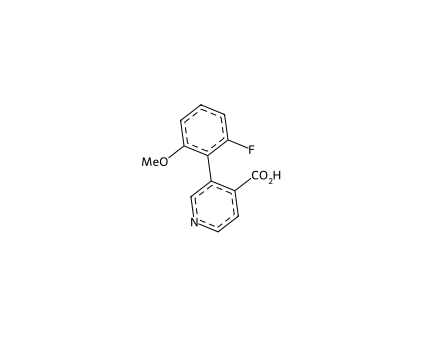 COc1cccc(F)c1-c1cnccc1C(=O)O